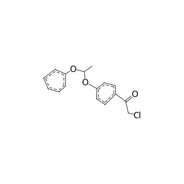 CC(Oc1ccccc1)Oc1ccc(C(=O)CCl)cc1